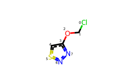 ClCOc1csnn1